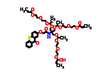 C=CC(=O)OCCOCCOC(C)OCC(COC(C)OCCOCCOC(=O)C=C)(COC(C)OCCOCCOC(O)C=C)NC(=O)COc1ccc2sc3ccccc3c(=O)c2c1